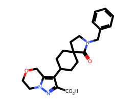 O=C(O)c1nn2c(c1C1CCC3(CC1)CCN(Cc1ccccc1)C3=O)COCC2